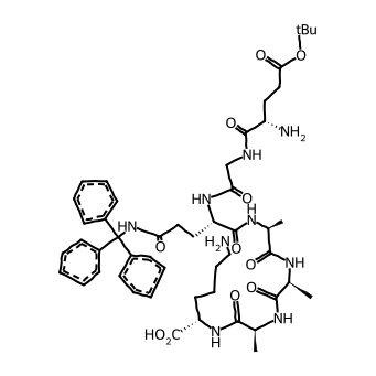 C[C@H](NC(=O)[C@H](C)NC(=O)[C@H](CCC(=O)NC(c1ccccc1)(c1ccccc1)c1ccccc1)NC(=O)CNC(=O)[C@@H](N)CCC(=O)OC(C)(C)C)C(=O)N[C@@H](C)C(=O)N[C@@H](CCCCN)C(=O)O